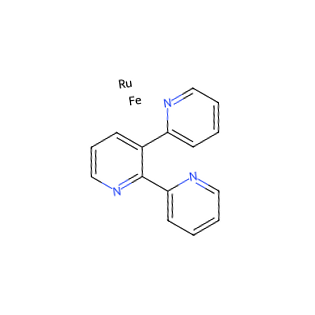 [Fe].[Ru].c1ccc(-c2cccnc2-c2ccccn2)nc1